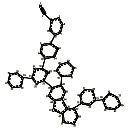 N#Cc1cccc(-c2ccc(-c3nc(-c4ccccc4)nc(-c4cc5oc6cccc(-c7cccc(-c8ccccc8)c7)c6c5cc4-c4ccccc4)n3)cc2)c1